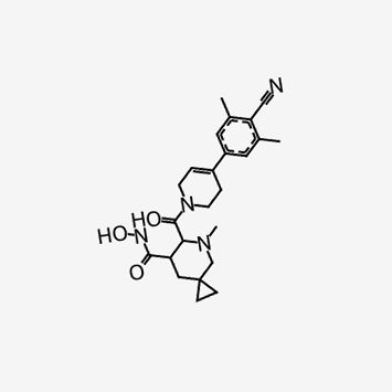 Cc1cc(C2=CCN(C(=O)C3C(C(=O)NO)CC4(CC4)CN3C)CC2)cc(C)c1C#N